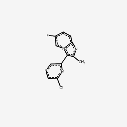 Cc1nc2ccc(F)cn2c1-c1cncc(Cl)n1